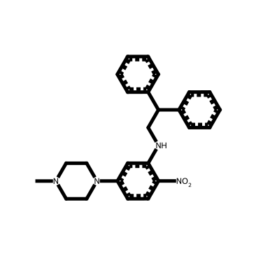 CN1CCN(c2ccc([N+](=O)[O-])c(NCC(c3ccccc3)c3ccccc3)c2)CC1